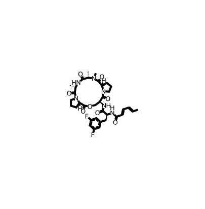 C/C=C/C=C/C(=O)N[C@@H](Cc1cc(F)cc(F)c1)C(=O)N[C@H]1COC(=O)[C@@H]2CCCN2C(=O)[C@H](C)NC(=O)[C@H](C)N(C)C(=O)[C@@H]2CCCN2C1=O